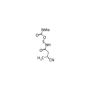 CNC(=O)OSNC(=O)C[C@H](C)C#N